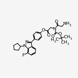 CC(C)(C)OC(=O)N(CC(=O)Oc1ccc(-c2nn(C3CCCC3)c3c(F)cccc23)cc1)C(=O)CN